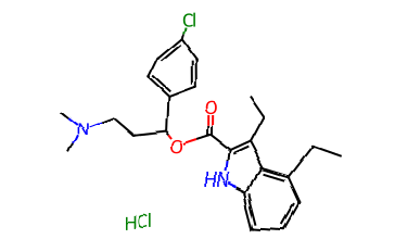 CCc1cccc2[nH]c(C(=O)OC(CCN(C)C)c3ccc(Cl)cc3)c(CC)c12.Cl